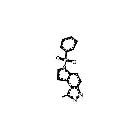 Cc1nnc2ccc3c(ccn3S(=O)(=O)c3ccccc3)n12